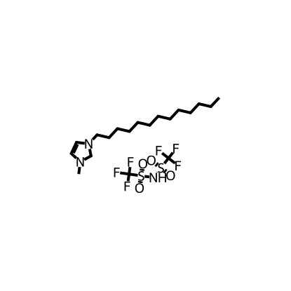 CCCCCCCCCCCCCN1C=CN(C)C1.O=S(=O)(NS(=O)(=O)C(F)(F)F)C(F)(F)F